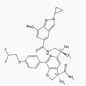 COc1cc(C(=O)NC[C@](O)(c2cc3c(c(-c4ccc(OCC(F)F)cc4)n2)OC[C@]3(C)C(N)=O)C(F)(F)F)cc2cn(C3CC3)nc12